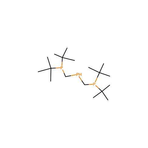 CC(C)(C)P(CPCP(C(C)(C)C)C(C)(C)C)C(C)(C)C